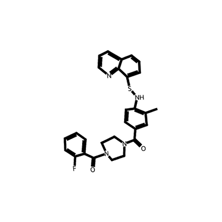 Cc1cc(C(=O)N2CCN(C(=O)c3ccccc3F)CC2)ccc1NSc1cccc2cccnc12